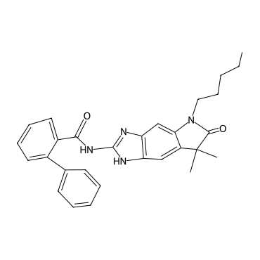 CCCCCN1C(=O)C(C)(C)c2cc3[nH]c(NC(=O)c4ccccc4-c4ccccc4)nc3cc21